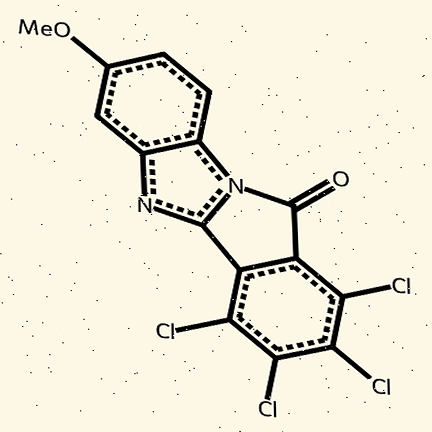 COc1ccc2c(c1)nc1n2C(=O)c2c(Cl)c(Cl)c(Cl)c(Cl)c2-1